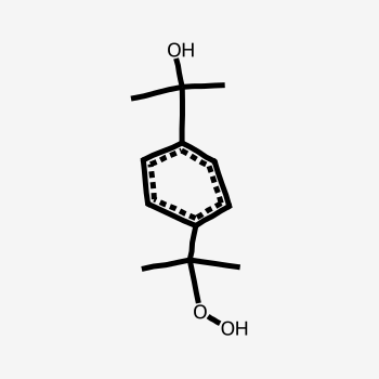 CC(C)(O)c1ccc(C(C)(C)OO)cc1